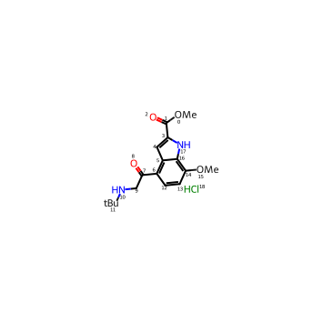 COC(=O)c1cc2c(C(=O)CNC(C)(C)C)ccc(OC)c2[nH]1.Cl